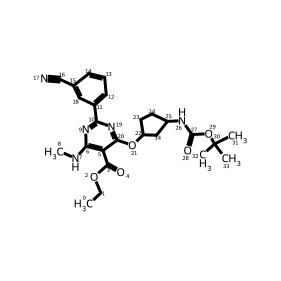 CCOC(=O)c1c(NC)nc(-c2cccc(C#N)c2)nc1OC1CCC(NC(=O)OC(C)(C)C)C1